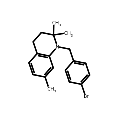 Cc1ccc2c(c1)N(Cc1ccc(Br)cc1)C(C)(C)CC2